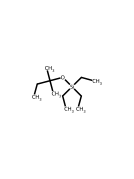 CCC(C)(C)O[Si](CC)(CC)CC